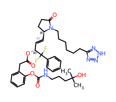 CC(C)(O)CCCNC(=O)Oc1ccccc1CC(=O)O[C@H](/C=C/[C@H]1CCC(=O)N1CCCCCCc1nn[nH]n1)C(F)(F)c1ccccc1